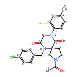 CCC(=O)N1CC[C@]2(C1)C(=O)N(c1ccc(C#N)cc1F)CC(=O)N2Cc1ccc(Cl)cc1